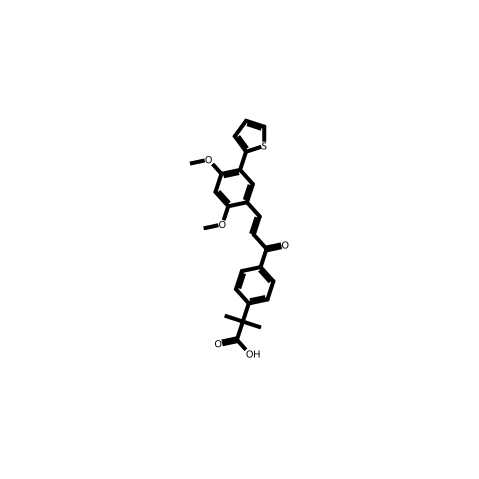 COc1cc(OC)c(-c2cccs2)cc1C=CC(=O)c1ccc(C(C)(C)C(=O)O)cc1